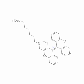 CCCCCCCCCCCCCCCC[n+]1ccc2c(c1)Oc1ccccc1/C2=C1/c2ccccc2Oc2cnccc21